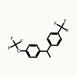 C[C](c1ccc(OC(F)(F)F)cc1)c1ccc(C(F)(F)F)cc1